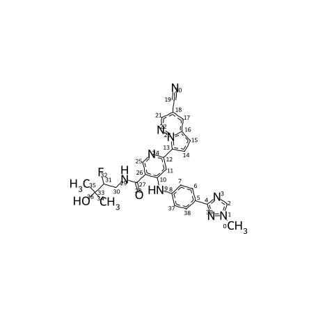 Cn1cnc(-c2ccc(Nc3cc(-c4ccc5cc(C#N)cnn45)ncc3C(=O)NCC(F)C(C)(C)O)cc2)n1